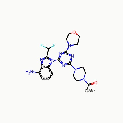 COC(=O)N1CCN(c2nc(N3CCOCC3)nc(-n3c(C(F)F)nc4c(N)cccc43)n2)CC1